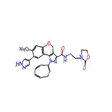 COc1cc2c(cc1-c1cn[nH]c1)-c1c(c(C(=O)NCCN3CCOC3=O)nn1C1=CCC=CC=C1)CO2